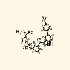 CC(=O)N(C)C1CCN(S(=O)(=O)Nc2cccc(C(=O)c3c[nH]c4ncc(-c5cnc(C6CC6)nc5)cc34)c2F)C1